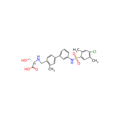 Cc1cc(S(=O)(=O)Nc2cccc(-c3ccc(CN[C@@H](CO)C(=O)O)c(C)c3)c2)c(C)cc1Cl